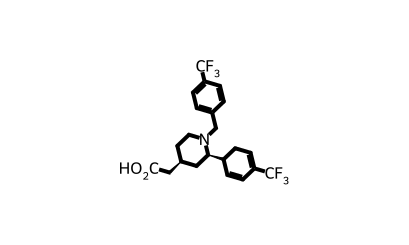 O=C(O)C[C@H]1CCN(Cc2ccc(C(F)(F)F)cc2)[C@@H](C2C=CC(C(F)(F)F)=CC2)C1